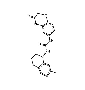 O=C1COc2ccc(NC(=O)N[C@@H]3CCOc4ccc(F)cc43)cc2N1